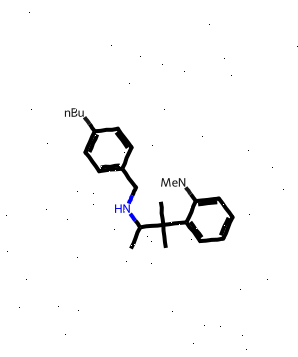 CCCCc1ccc(CNC(C)C(C)(C)c2ccccc2NC)cc1